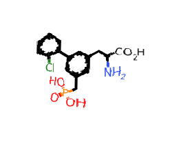 NC(Cc1cc(CP(=O)(O)O)cc(-c2ccccc2Cl)c1)C(=O)O